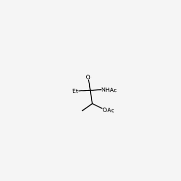 CCC([O])(NC(C)=O)C(C)OC(C)=O